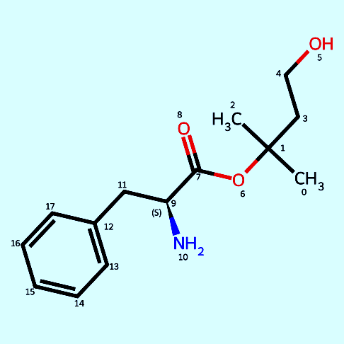 CC(C)(CCO)OC(=O)[C@@H](N)Cc1ccccc1